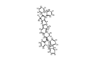 CC1(C)c2cc3c(cc2-c2ccc4cc(N(c5ccccc5)c5cccc6c5oc5ccccc56)ccc4c21)C(C)(C)c1c-3c2ccccc2c2ccccc12